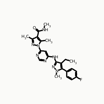 CCc1c(Nc2cc(-n3nc(C)c(C(=O)NC)c3C)ncn2)nn(C)c1-c1ccc(F)cc1